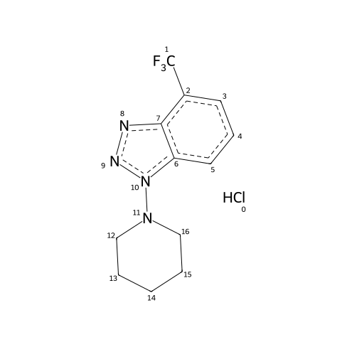 Cl.FC(F)(F)c1cccc2c1nnn2N1CCCCC1